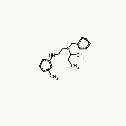 CCC(C)N(CCNc1cccc(C)c1)Cc1ccccc1